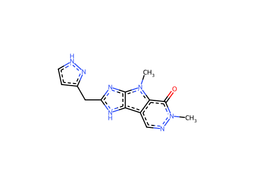 Cn1ncc2c3[nH]c(Cc4cc[nH]n4)nc3n(C)c2c1=O